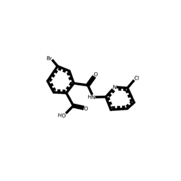 O=C(O)c1ccc(Br)cc1C(=O)Nc1cccc(Cl)n1